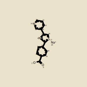 O=C([O-])c1ccc(-c2nc(-c3cccnc3)cs2)cc1.[Na+]